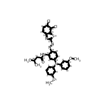 COc1cccc(N(c2cccc(OC)c2)c2ccc(N=Nc3nc4ccc(Cl)c(Cl)c4s3)c(NC(=O)CC(C)C)c2)c1